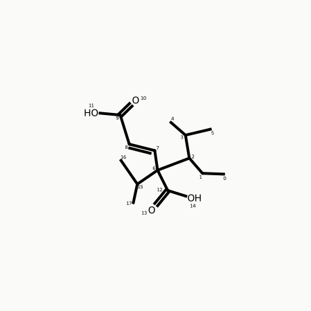 CCC(C(C)C)C(C=CC(=O)O)(C(=O)O)C(C)C